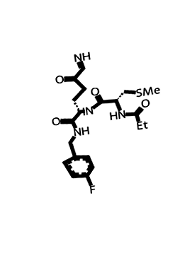 CCC(=O)N[C@@H](CSC)C(=O)N[C@@H](CCC(=O)C=N)C(=O)NCc1ccc(F)cc1